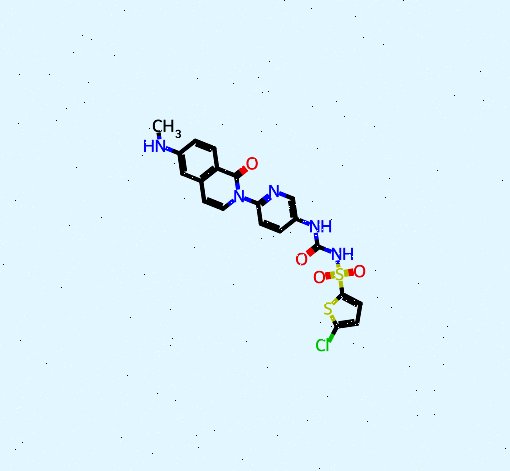 CNc1ccc2c(=O)n(-c3ccc(NC(=O)NS(=O)(=O)c4ccc(Cl)s4)cn3)ccc2c1